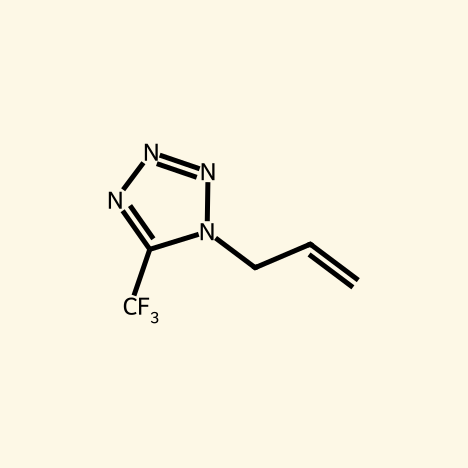 C=CCn1nnnc1C(F)(F)F